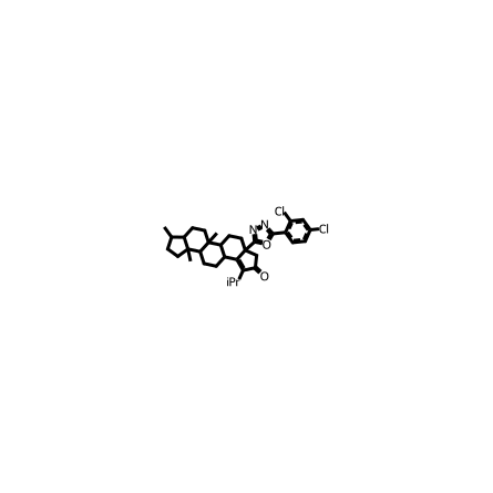 CC(C)C1=C2C3CCC4C5(C)CCC(C)C5CCC4(C)C3CCC2(c2nnc(-c3ccc(Cl)cc3Cl)o2)CC1=O